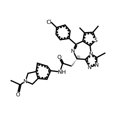 CC(=O)N1Cc2ccc(NC(=O)C[C@@H]3N=C(c4ccc(Cl)cc4)c4c(sc(C)c4C)-n4c(C)nnc43)cc2C1